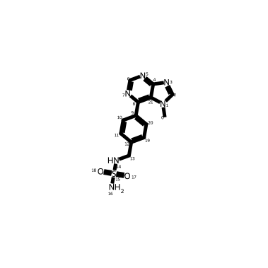 Cn1cnc2ncnc(-c3ccc(CNS(N)(=O)=O)cc3)c21